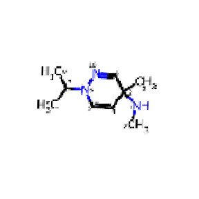 CNC1(C)C=CN(C(C)C)N=C1